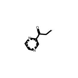 [CH2]CC(=O)c1cnccn1